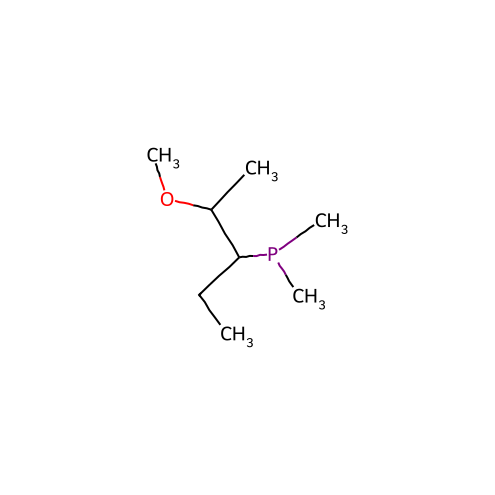 CCC(C(C)OC)P(C)C